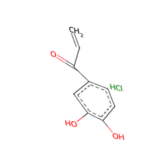 C=CC(=O)c1ccc(O)c(O)c1.Cl